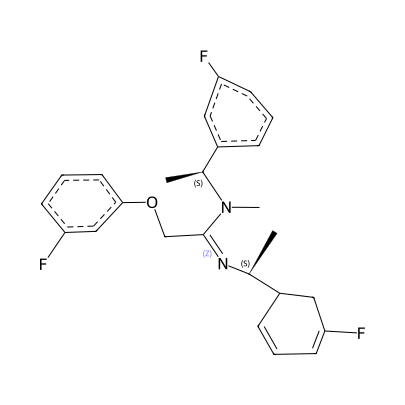 C[C@H](/N=C(/COc1cccc(F)c1)N(C)[C@@H](C)c1cccc(F)c1)C1C=CC=C(F)C1